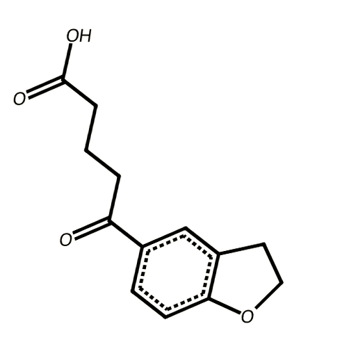 O=C(O)CCCC(=O)c1ccc2c(c1)CCO2